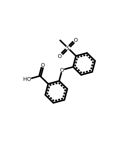 CS(=O)(=O)c1ccccc1Oc1ccccc1C(=O)O